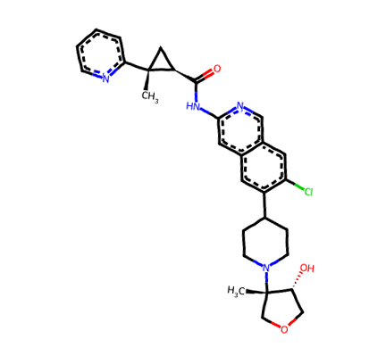 C[C@@]1(c2ccccn2)C[C@H]1C(=O)Nc1cc2cc(C3CCN([C@@]4(C)COC[C@H]4O)CC3)c(Cl)cc2cn1